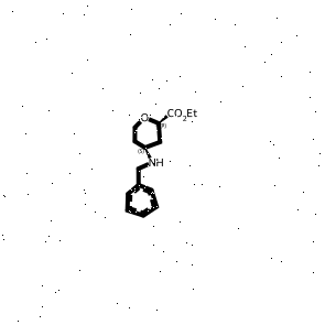 CCOC(=O)[C@H]1C[C@@H](NCc2ccccc2)CCO1